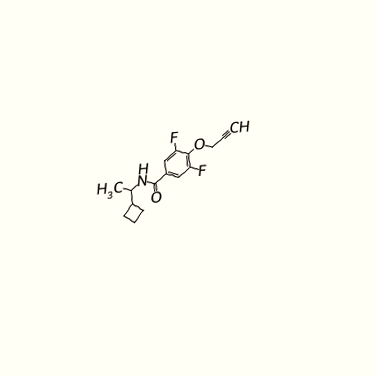 C#CCOc1c(F)cc(C(=O)NC(C)C2CCC2)cc1F